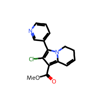 COC(=O)c1c(Cl)c(-c2cccnc2)n2c1C=CCC2